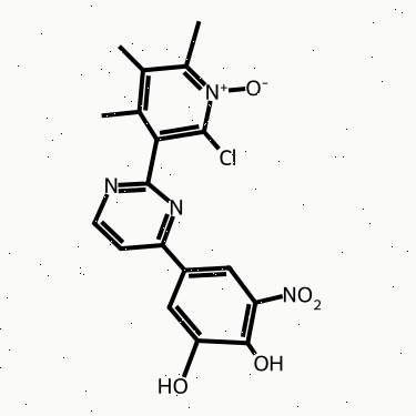 Cc1c(C)c(C)[n+]([O-])c(Cl)c1-c1nccc(-c2cc(O)c(O)c([N+](=O)[O-])c2)n1